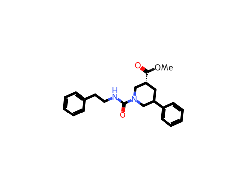 COC(=O)[C@@H]1CC(c2ccccc2)CN(C(=O)NCCc2ccccc2)C1